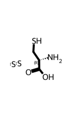 N[C@@H](CS)C(=O)O.[S].[S]